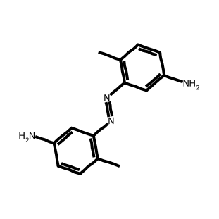 Cc1ccc(N)cc1N=Nc1cc(N)ccc1C